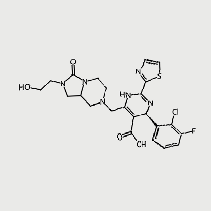 O=C(O)C1=C(CN2CCN3C(=O)N(CCO)CC3C2)NC(c2nccs2)=N[C@H]1c1cccc(F)c1Cl